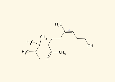 CC1=CCC(C)C(C)(C)C1CC/C(C)=C\CCO